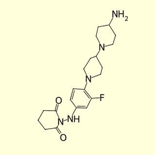 NC1CCN(C2CCN(c3ccc(NN4C(=O)CCCC4=O)cc3F)CC2)CC1